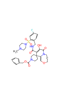 CN1CCN(S(=O)(=O)c2cc(F)ccc2CNC(=O)C2=C(O)C(=O)N3CCCOC=C3C23CCN(C(=O)OCc2ccccc2)CC3)CC1